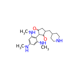 CNc1cc(NC)c(C2C(=O)CC(CC3CCNCC3)C2=O)c(NC)c1